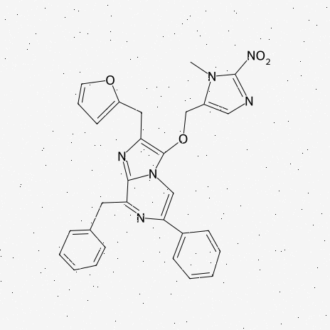 Cn1c(COc2c(Cc3ccco3)nc3c(Cc4ccccc4)nc(-c4ccccc4)cn23)cnc1[N+](=O)[O-]